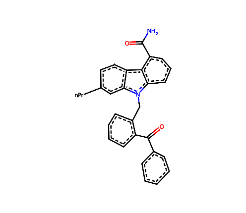 CCCc1c[c]c2c3c(C(N)=O)cccc3n(Cc3ccccc3C(=O)c3ccccc3)c2c1